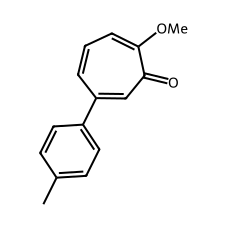 COc1cccc(-c2ccc(C)cc2)cc1=O